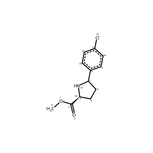 COC(=O)[C@@H]1CCC(c2ccc(Cl)cc2)N1